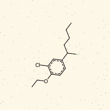 [CH2]C(CCCC)c1ccc(OCC)c(Cl)c1